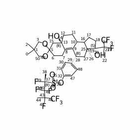 CC1(C)COC2(CCC3=C4C(CC[C@@]3(O)C2)C2CC[C@@](O)(C(C)(F)C(F)(F)F)[C@@]2(C)C[C@@H]4c2ccc(OS(=O)(=O)[C@@](C)(F)C(F)(F)C(C)(F)C(F)(F)F)cc2)OC1